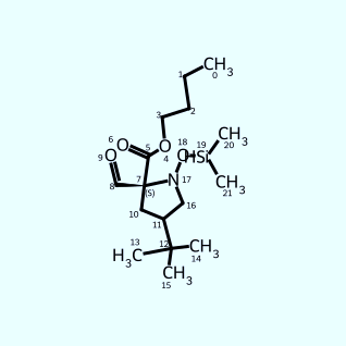 CCCCOC(=O)[C@@]1(C=O)CC(C(C)(C)C)CN1O[SiH](C)C